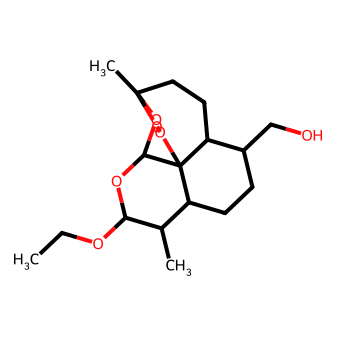 CCOC1OC2OC3(C)CCC4C(CO)CCC(C1C)C24OO3